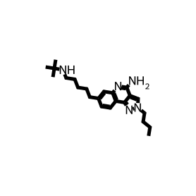 CCCCn1cc2c(N)nc3cc(CCCCCNC(C)(C)C)ccc3c2n1